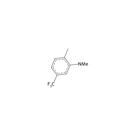 CNc1cc(C(F)(F)F)ccc1C